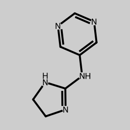 c1ncc(NC2=NCCN2)cn1